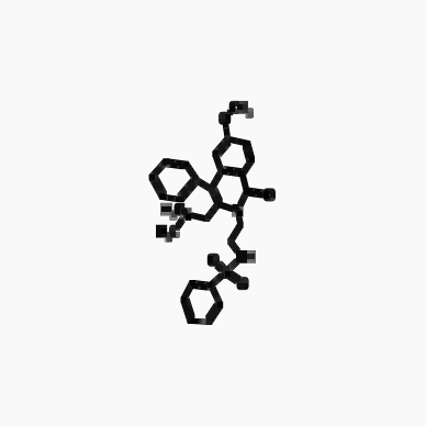 COc1ccc2c(=O)n(CCNS(=O)(=O)c3ccccc3)c(CN(C)C)c(-c3ccccc3)c2c1